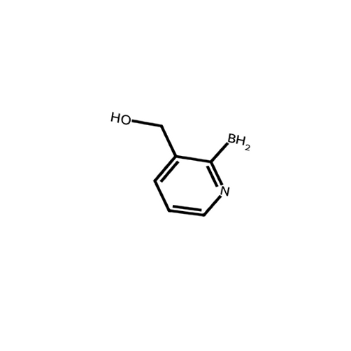 Bc1ncccc1CO